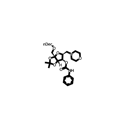 CCCCCCCCCCOC[C@@]12O[C@@H](CN3CCOCC3)[C@@H](OC(=O)Nc3ccccc3)[C@@H]1OC(C)(C)O2